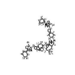 CCC(=Cc1cn(Cc2ccc(OCc3nc(-c4ccccc4)oc3C)cc2)nc1OCc1ccc(OCc2nc(-c3ccccc3)oc2C)cc1)C(=O)O